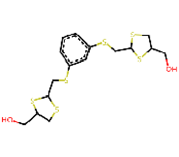 OCC1CSC(CSc2cccc(SCC3SCC(CO)S3)c2)S1